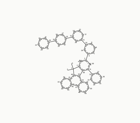 CC1(C)c2nc(-c3cccc(-c4cccc(-c5ccc(-c6ccccc6)cc5)c4)c3)nc(-c3ccccc3)c2-c2c1c1ccccc1c1ccccc21